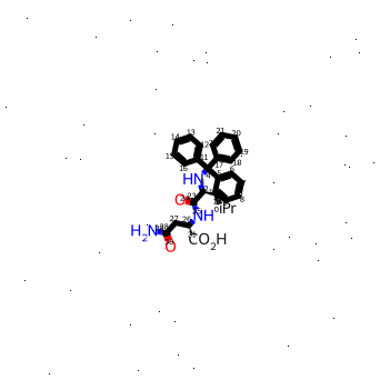 CC(C)C[C@H](NC(c1ccccc1)(c1ccccc1)c1ccccc1)C(=O)N[C@@H](CC(N)=O)C(=O)O